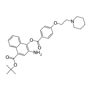 CC(C)(C)OC(=O)c1cc(N)c(OC(=O)c2ccc(OCCN3CCCCC3)cc2)c2ccccc12